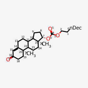 CCCCCCCCCCCCOC(=O)O[C@H]1CCC2C3CCC4=CC(=O)CC[C@]4(C)C3CC[C@@]21C